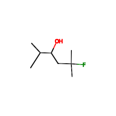 CC(C)C(O)CC(C)(C)F